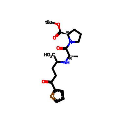 C[C@H](NC(CCC(=O)c1cccs1)C(=O)O)C(=O)N1CCC[C@H]1C(=O)OC(C)(C)C